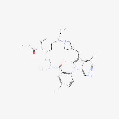 COC(=O)[C@H]1CC[C@H]([C@@H](C)N2CC(Cc3cn(-c4ccc(F)cc4C(=O)N(C)C(C)C)c4cncc(C)c34)C2)CC1